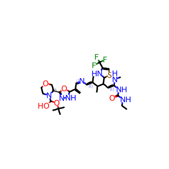 C=C(/C=N\C=C(/C)C(C)C(/C=C(\NC)NC(=O)NCC)C1NC(C(F)(F)F)=CS1)C1NN=C([C@@H]2COCCN2C(O)OC(C)(C)C)O1